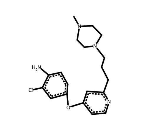 CN1CCN([CH]CCc2cc(Oc3ccc(N)c(Cl)c3)ccn2)CC1